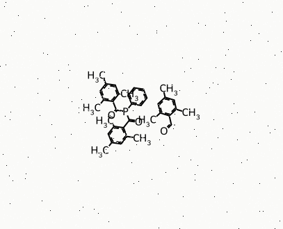 Cc1cc(C)c(C(=O)P(C(=O)c2c(C)cc(C)cc2C)c2ccccc2)c(C)c1.Cc1cc(C)c([C]=O)c(C)c1